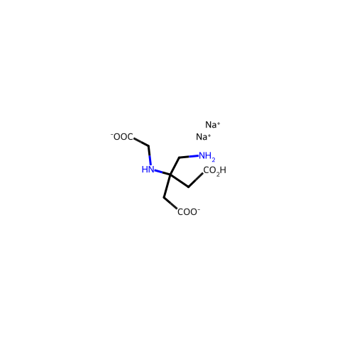 NCC(CC(=O)[O-])(CC(=O)O)NCC(=O)[O-].[Na+].[Na+]